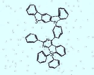 c1ccc(-c2nc(-c3cccc(-n4c5ccccc5c5cc6c(cc54)sc4ccccc46)c3)c3c(n2)[Si](c2ccccc2)(c2ccccc2)c2ccccc2-3)cc1